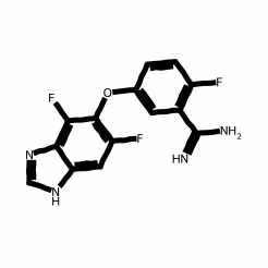 N=C(N)c1cc(Oc2c(F)cc3[nH]cnc3c2F)ccc1F